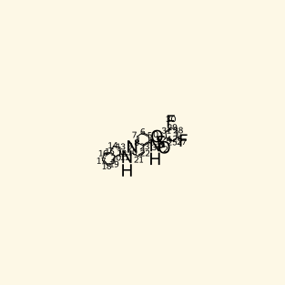 O=S(=O)(Nc1cccc2nc(NC3CCc4ccccc43)ccc12)c1cc(F)cc(F)c1